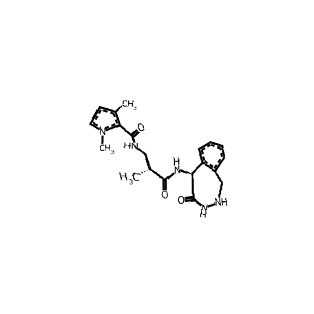 Cc1ccn(C)c1C(=O)NC[C@@H](C)C(=O)N[C@@H]1C(=O)NNCc2ccccc21